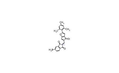 Bc1ccc2c(c1)C(=O)/C(=C\c1cc3oc(-c4c(C)cc(C)cc4C)cc3n1CC)C2=O